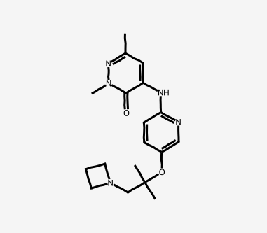 Cc1cc(Nc2ccc(OC(C)(C)CN3CCC3)cn2)c(=O)n(C)n1